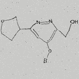 CCOc1cc(C2CCOC2)nnc1CO